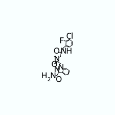 CN(CC(=O)NCc1cccc(Cl)c1F)C(=O)Cn1nc(C(N)=O)c2ccccc21